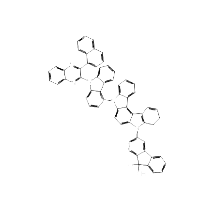 CC1(C)c2ccccc2-c2cc(-n3c4c(c5c6c7ccccc7n(-c7cccc8c7c7ccccc7n8-c7nc8ccccc8nc7-c7cccc8ccccc78)c6ccc53)C=CCC4)ccc21